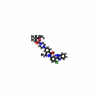 Cc1cc(N2CCN(C(=O)OC(C)(C)C)CC2)ccc1C(=O)Nc1ccc(Cl)c(-c2nc3ccccc3[nH]2)c1